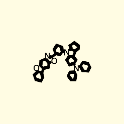 c1ccc(N(c2ccccc2)c2ccc3c(c2)c2ccccc2n3-c2cccc(-c3nc4cc5oc6ccccc6c5cc4o3)c2)cc1